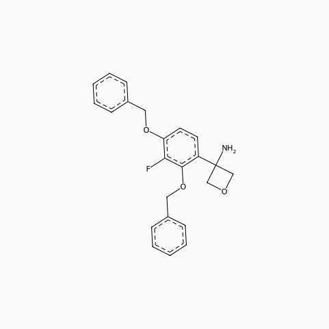 NC1(c2ccc(OCc3ccccc3)c(F)c2OCc2ccccc2)COC1